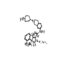 Cc1cccc(C)c1C1(N)NN(C)c2nc(Nc3ccc4c(c3)CN(C3CCNCC3)CC4)ncc21